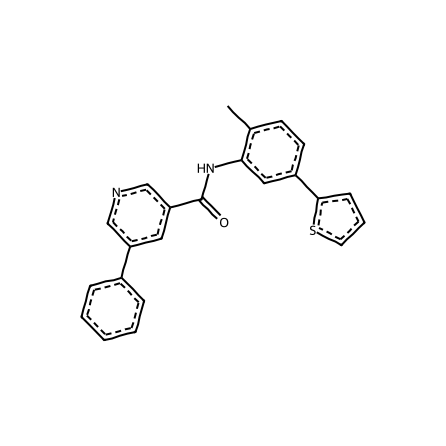 Cc1ccc(-c2cccs2)cc1NC(=O)c1cncc(-c2ccccc2)c1